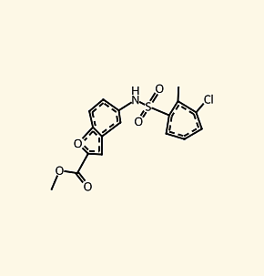 COC(=O)c1cc2cc(NS(=O)(=O)c3cccc(Cl)c3C)ccc2o1